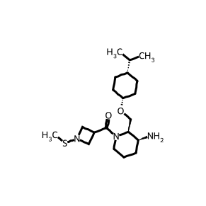 CSN1CC(C(=O)N2CCC[C@H](N)[C@@H]2CO[C@H]2CC[C@@H](C(C)C)CC2)C1